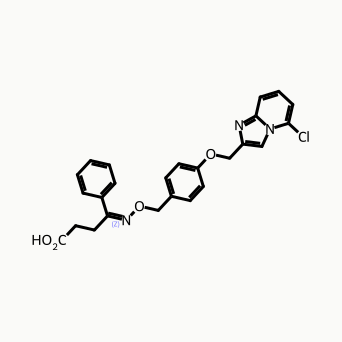 O=C(O)CC/C(=N/OCc1ccc(OCc2cn3c(Cl)cccc3n2)cc1)c1ccccc1